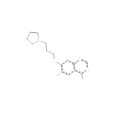 Cc1cc2c(Cl)ncnc2cc1OCCCN1CCCC1